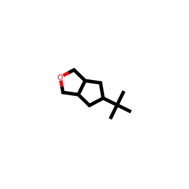 CC(C)(C)C1CC2COCC2C1